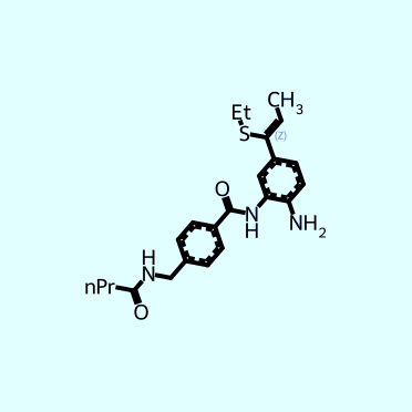 C/C=C(\SCC)c1ccc(N)c(NC(=O)c2ccc(CNC(=O)CCC)cc2)c1